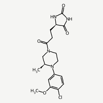 COc1cc(N2CCN(C(=O)CC[C@H]3NC(=O)NC3=O)C[C@@H]2C)ccc1Cl